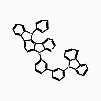 c1ccc(-n2c3ccccc3c3ccc4c(c5cccnc5n4-c4cccc(-c5cccc(-n6c7ccccc7c7ccccc76)c5)c4)c32)cc1